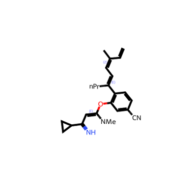 C=C/C(C)=C\C=C(/CCC)c1ccc(C#N)cc1O/C(=C/C(=N)C1CC1)NC